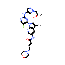 Cc1cn(-c2nc(Nc3cnn(C[C@H](C)O)c3)ncc2F)c2ncc(NC(=O)/C=C/CN3CCOCC3)cc12